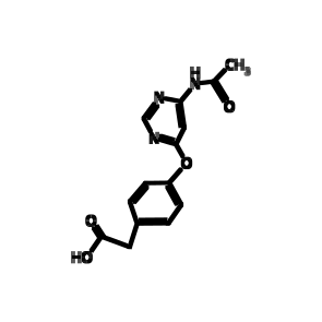 CC(=O)Nc1cc(Oc2ccc(CC(=O)O)cc2)ncn1